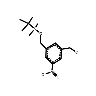 CC(C)(C)[Si](C)(C)OCc1cc(CCl)cc([N+](=O)[O-])c1